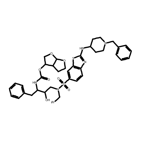 CC(C)CN(CC(O)C(Cc1ccccc1)NC(=O)OC1COC2OCCC12)S(=O)(=O)c1ccc2nc(NC3CCN(Cc4ccccc4)CC3)sc2c1